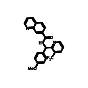 COc1ccc(C(NC(=O)c2ccc3cccnc3c2)c2ncccc2C(F)(F)F)cc1